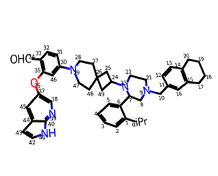 CC(C)c1ccccc1C1CN(Cc2ccc3c(c2)CCCC3)CCN1C1CC2(CCN(c3ccc(C=O)c(Oc4cnc5[nH]ccc5c4)c3)CC2)C1